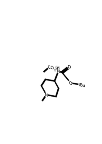 CC(=O)O.CN1CCC(NC(=O)OC(C)(C)C)CC1